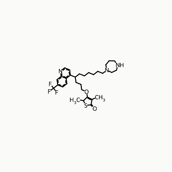 CC1=C(OCCCC(CCCCCCN2CCCNCC2)c2ccnc3cc(C(F)(F)F)ccc23)C(C)SC1=O